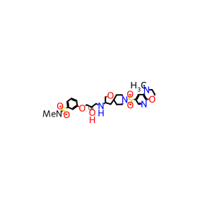 CNS(=O)(=O)c1cccc(OC[C@@H](O)CNC2COC3(CCN(S(=O)(=O)c4cnc5c(c4)N(C)CCO5)CC3)C2)c1